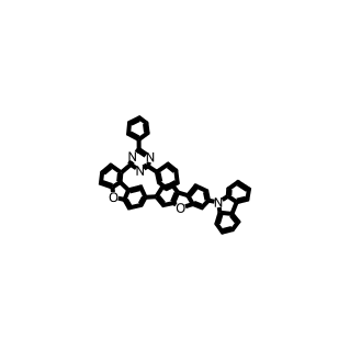 c1ccc(-c2nc(-c3ccccc3)nc(-c3cccc4oc5ccc(-c6ccc7c(c6)oc6cc(-n8c9ccccc9c9ccccc98)ccc67)cc5c34)n2)cc1